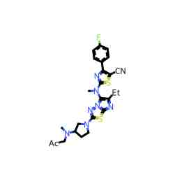 CCc1nc2sc(N3CCC(N(C)CC(C)=O)C3)nn2c1N(C)c1nc(-c2ccc(F)cc2)c(C#N)s1